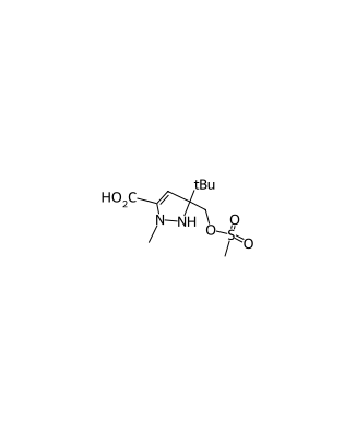 CN1NC(COS(C)(=O)=O)(C(C)(C)C)C=C1C(=O)O